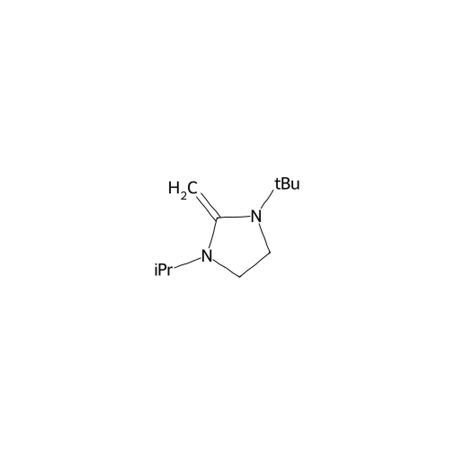 C=C1N(C(C)C)CCN1C(C)(C)C